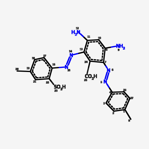 Cc1ccc(N=Nc2c(N)cc(N)c(N=Nc3ccc(C)cc3S(=O)(=O)O)c2C(=O)O)cc1